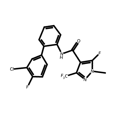 Cn1nc(C(F)(F)F)c(C(=O)Nc2ccccc2-c2ccc(F)c(Cl)c2)c1F